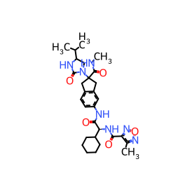 CNC(=O)C1(N2CC(C(C)C)NC2=O)Cc2ccc(NC(=O)[C@@H](NC(=O)c3nonc3C)C3CCCCC3)cc2C1